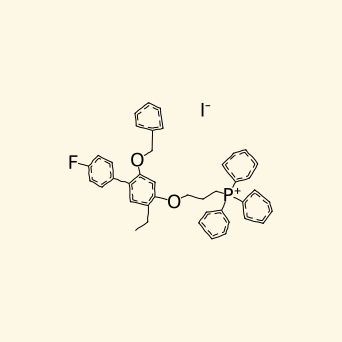 CCc1cc(-c2ccc(F)cc2)c(OCc2ccccc2)cc1OCCC[P+](c1ccccc1)(c1ccccc1)c1ccccc1.[I-]